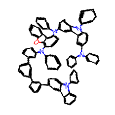 c1ccc(N(c2ccccc2)c2ccc3c(c2)c2cc(N(c4ccccc4)c4ccc(N(c5ccccc5)c5cccc(-c6cccc(-c7cccc(-c8ccc9c(c8)c8ccccc8n9-c8ccccc8)c7)c6)c5)c5oc6ccccc6c45)ccc2n3-c2ccccc2)cc1